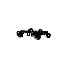 Cc1cc(Oc2ccccc2)ccc1N1C(=O)Nc2c(C(=O)N[C@@H]3CCCN(C(=O)/C=C/CN4C=C5OCCO[C@H]5C4)C3)sc3nccc1c23